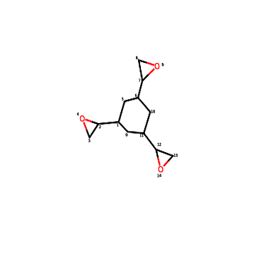 C1C(C2CO2)CC(C2CO2)CC1C1CO1